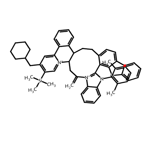 C=C1CC2C(CCc3ccc4c(oc5ccccc54)c3-c3n(-c4c(C)cccc4C)c4ccccc4[n+]31)c1ccccc1-c1cc(CC3CCCCC3)c([Si](C)(C)C)c[n+]12